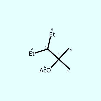 CCC(CC)C(C)(C)OC(C)=O